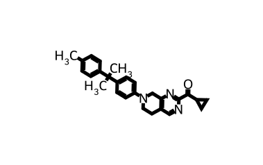 Cc1ccc(C(C)(C)c2ccc(N3CCc4cnc(C(=O)C5CC5)nc4C3)cc2)cc1